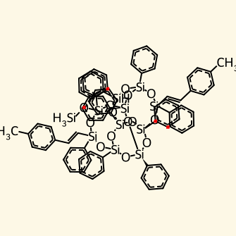 Cc1ccc(/C=C/[Si]2(c3ccccc3)O[Si](O[SiH3])(c3ccccc3)O[Si@]3(c4ccccc4)O[Si]4(c5ccccc5)O[SiH](c5ccccc5)O[Si]5(c6ccccc6)O[Si](c6ccccc6)(O2)O[Si@@](c2ccccc2)(O[Si](c2ccccc2)(O[Si](/C=C/c2ccc(C)cc2)(c2ccccc2)O4)O5)O3)cc1